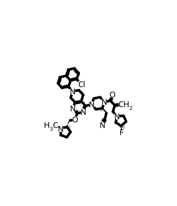 C=C(CN1CC[C@H](F)C1)C(=O)N1CCN(c2nc(OC[C@@H]3CCCN3C)nc3c2CCN(c2cccc4cccc(Cl)c24)C3)C[C@@H]1CC#N